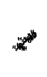 C=CC(C(=O)OC(=O)[C@@H](N)CCCNC(=N)N)[SH]1C=CC=C1